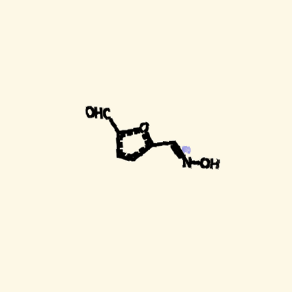 O=Cc1ccc(/C=N/O)o1